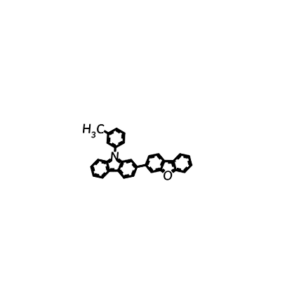 Cc1cccc(-n2c3ccccc3c3ccc(-c4ccc5c(c4)oc4ccccc45)cc32)c1